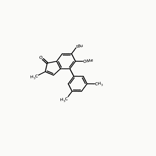 COc1c(C(C)(C)C)cc2c(c1-c1cc(C)cc(C)c1)C=C(C)C2=O